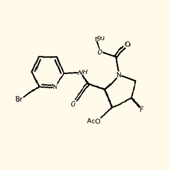 CC(=O)OC1C(F)CN(C(=O)OC(C)(C)C)C1C(=O)Nc1cccc(Br)n1